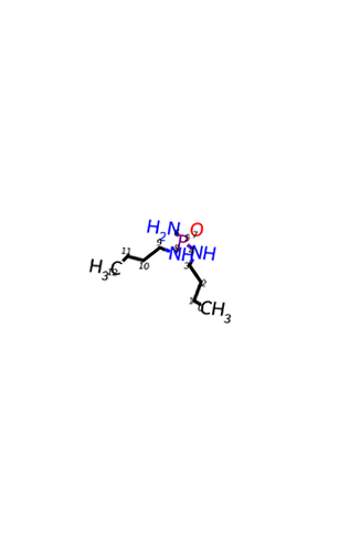 CCCCNP(N)(=O)NCCCC